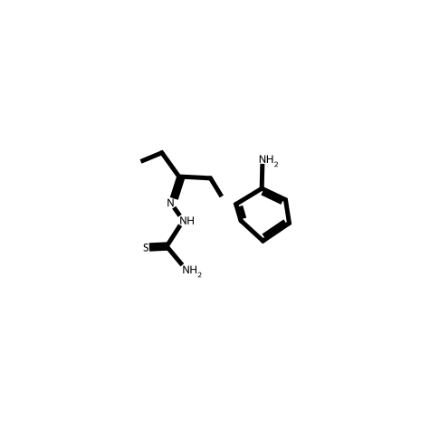 CCC(CC)=NNC(N)=S.Nc1ccccc1